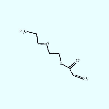 [CH2]CCOCCOC(=O)C=C